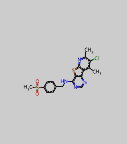 Cc1nc2sc3c(NCc4ccc(S(C)(=O)=O)cc4)ncnc3c2c(C)c1Cl